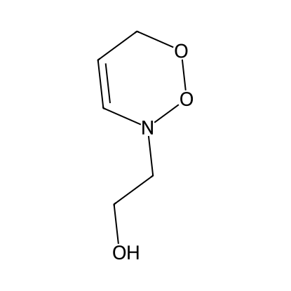 OCCN1C=CCOO1